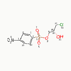 O=[N+]([O-])c1ccc(S(=O)(=O)OC[C@@H](O)CCl)cc1